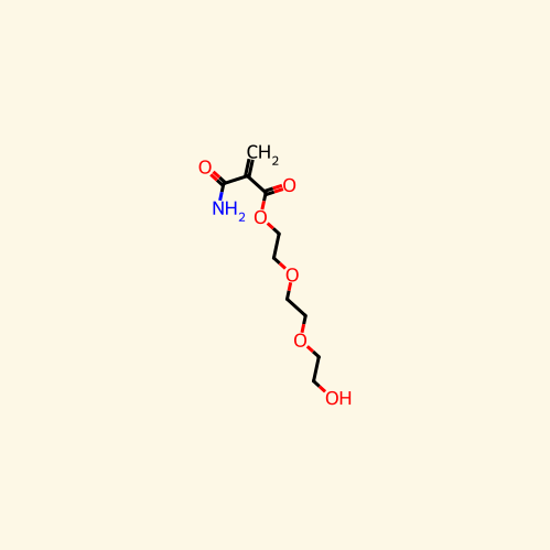 C=C(C(N)=O)C(=O)OCCOCCOCCO